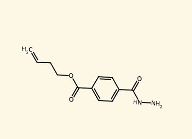 C=CCCOC(=O)c1ccc(C(=O)NN)cc1